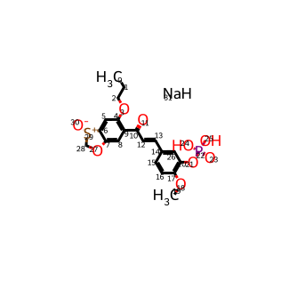 CCCOc1cc2c(cc1C(=O)/C=C/c1ccc(OC)c(OP(=O)(O)O)c1)OC[S+]2[O-].[NaH]